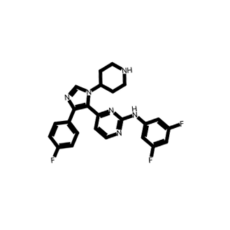 Fc1ccc(-c2ncn(C3CCNCC3)c2-c2ccnc(Nc3cc(F)cc(F)c3)n2)cc1